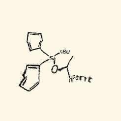 CCCCCC(C)O[Si](c1ccccc1)(c1ccccc1)C(C)(C)C